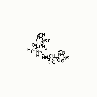 CC(C)(NCCONC(C)(C)C(=O)CC(=O)n1ccnc1[N+](=O)[O-])C(=O)CCn1ccnc1[N+](=O)[O-]